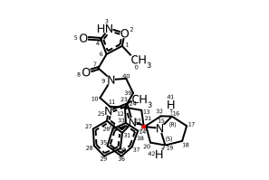 Cc1o[nH]c(=O)c1C(=O)N1CCC(CCN2[C@@H]3CC[C@H]2C[C@@H](n2c(C)nc4ccccc42)C3)(c2ccccc2)CC1